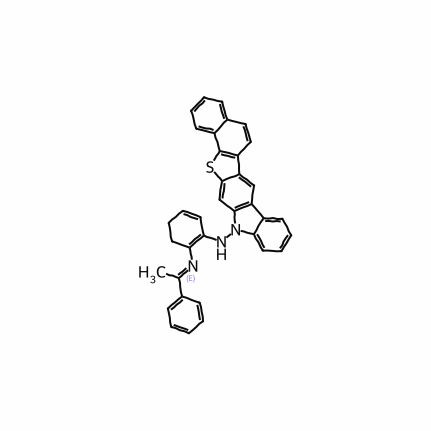 C/C(=N\C1=C(Nn2c3ccccc3c3cc4c(cc32)sc2c3ccccc3ccc42)C=CCC1)c1ccccc1